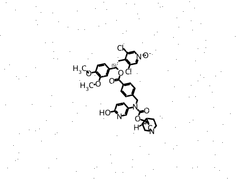 COc1ccc([C@H](Cc2c(Cl)c[n+]([O-])cc2Cl)OC(=O)c2ccc(CN(C(=O)O[C@H]3CN4CCC3CC4)c3ccc(O)nc3)cc2)cc1OC